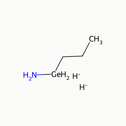 CC[CH2][GeH2][NH2].[H-].[H-]